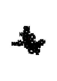 N#Cc1ccc(-c2ccc3c(c2)c2cc(-c4ccc(C#N)cc4C#N)ccc2n3-c2c(-c3ccccc3-n3c4ccccc4c4ccccc43)cc(-c3cc(-c4ccccc4)nc(-c4ccccc4)n3)cc2-c2ccccc2-n2c3ccccc3c3ccccc32)cc1